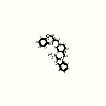 NC1Sc2ccccc2N1CC1CCN(CC2COc3ccccc3O2)CC1